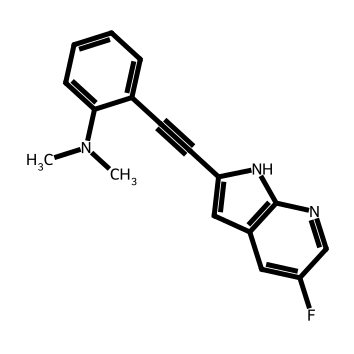 CN(C)c1ccccc1C#Cc1cc2cc(F)cnc2[nH]1